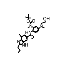 CCCc1nc2c(C)cc(C(=O)Nc3ccc(N(C)CCO)cc3N(C)C(=O)OC(C)(C)C)cc2[nH]1